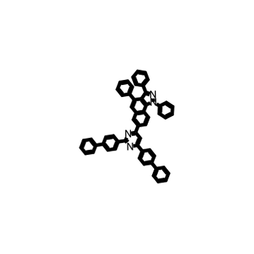 c1ccc(-c2ccc(-c3cc(-c4ccc5c(c4)cc(-c4ccccc4)c4c(-c6ccccc6)nn(-c6ccccc6)c45)nc(-c4ccc(-c5ccccc5)cc4)n3)cc2)cc1